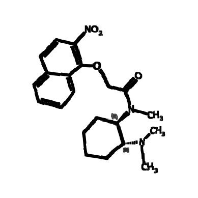 CN(C)[C@@H]1CCCC[C@H]1N(C)C(=O)COc1c([N+](=O)[O-])ccc2ccccc12